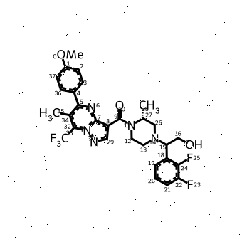 COc1ccc(-c2nc3c(C(=O)N4CCN(C(CO)c5cccc(F)c5F)C[C@H]4C)cnn3c(C(F)(F)F)c2C)cc1